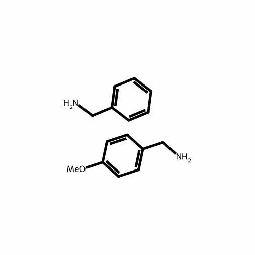 COc1ccc(CN)cc1.NCc1ccccc1